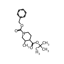 CC1CN(C(=O)OCc2ccccc2)CCC1C(=O)OC(C)(C)C